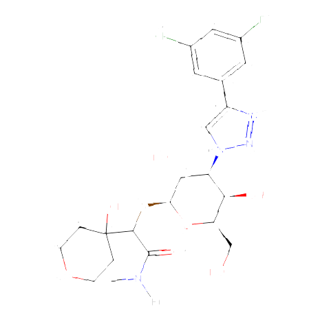 CCN(C)C(=O)C(S[C@@H]1O[C@H](CO)[C@H](O)[C@H](n2cc(-c3cc(F)cc(Cl)c3)nn2)[C@H]1O)C1(O)CCOCC1